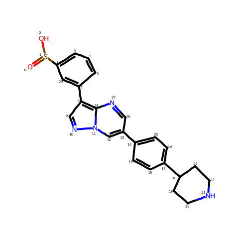 O=S(O)c1cccc(-c2cnn3cc(-c4ccc(C5CCNCC5)cc4)cnc23)c1